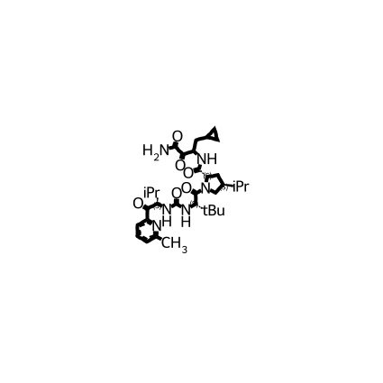 Cc1cccc(C(=O)[C@@H](NC(=O)N[C@H](C(=O)N2C[C@H](C(C)C)C[C@H]2C(=O)NC(CC2CC2)C(=O)C(N)=O)C(C)(C)C)C(C)C)n1